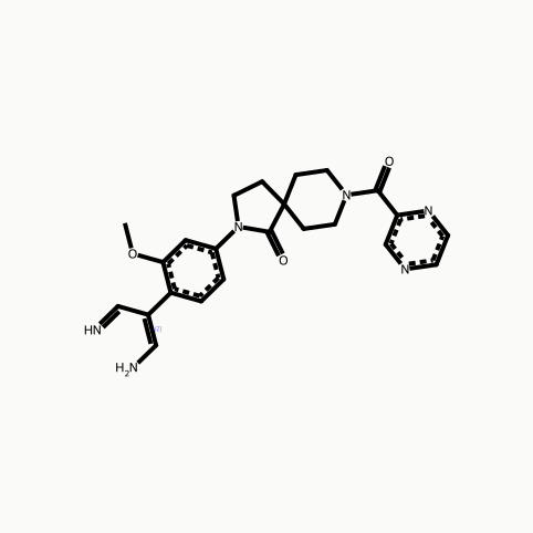 COc1cc(N2CCC3(CCN(C(=O)c4cnccn4)CC3)C2=O)ccc1/C(C=N)=C/N